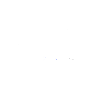 CSc1nc(Nc2ccc(C(=O)O)cc2)cc(OCC(F)(F)F)n1